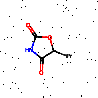 CC(C)[C]1OC(=O)NC1=O